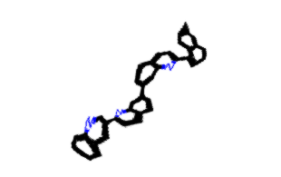 c1ccc2ncc(-c3ccc4ccc(-c5ccc6ccc(-c7cccc8ccccc78)nc6c5)cc4n3)cc2c1